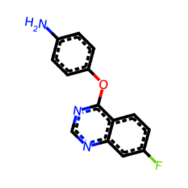 Nc1ccc(Oc2ncnc3cc(F)ccc23)cc1